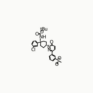 CC(C)(C)OC(=O)NC[C@]1(c2cccc(Cl)c2)CC[C@@H](n2nc(-c3cccc(S(C)(=O)=O)c3)ccc2=O)CC1